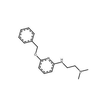 CN(C)CCNc1cccc(OCc2ccccc2)n1